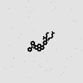 C=C(C)/C(=C\C=C/C)N(/C=C/C=C\C=C(C)C)c1ccc(-c2ccc3ccc4cc5c(c6ccc2c3c46)c2ccccc2n5-c2ccccc2)cc1